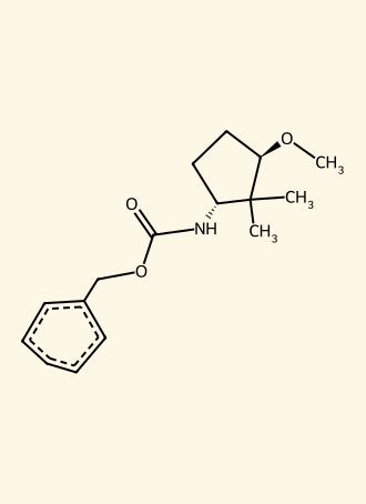 CO[C@@H]1CC[C@@H](NC(=O)OCc2ccccc2)C1(C)C